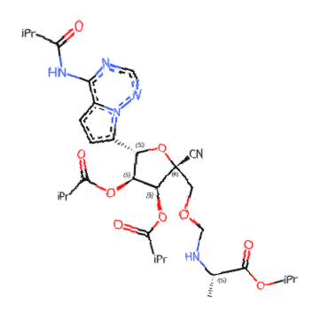 CC(C)OC(=O)[C@H](C)NCOC[C@@]1(C#N)O[C@@H](c2ccc3c(NC(=O)C(C)C)ncnn23)[C@H](OC(=O)C(C)C)[C@@H]1OC(=O)C(C)C